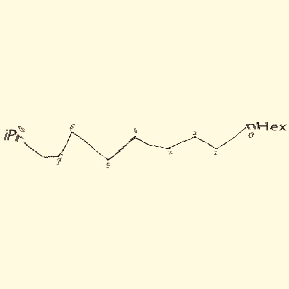 CCCCCCCCCCCC[CH]C(C)C